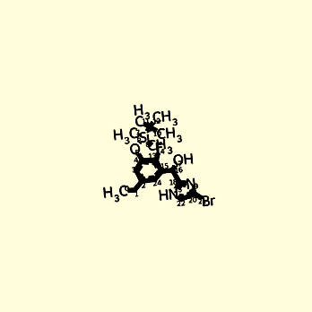 CCc1cc(O[Si](C)(C)C(C)(C)C)c(F)c(C(O)c2nc(Br)c[nH]2)c1